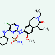 CCC1C(=O)N(CC)CCc2cc(Nc3ncc(Cl)c(N[C@@H]4CCCC[C@H]4CS(N)(=O)=O)n3)c(OC)cc21